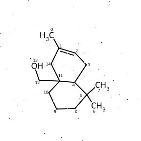 CC1=CCC2C(C)(C)CCCC2(CO)C1